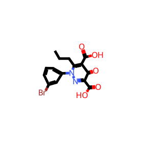 CCCc1c(C(=O)O)c(=O)c(C(=O)O)nn1-c1cccc(Br)c1